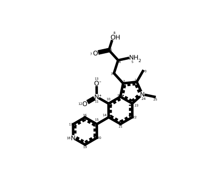 Cc1c(CC(N)C(=O)O)c2c([N+](=O)[O-])c(-c3ccncc3)ccc2n1C